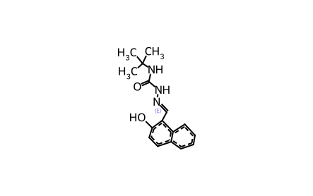 CC(C)(C)NC(=O)N/N=C/c1c(O)ccc2ccccc12